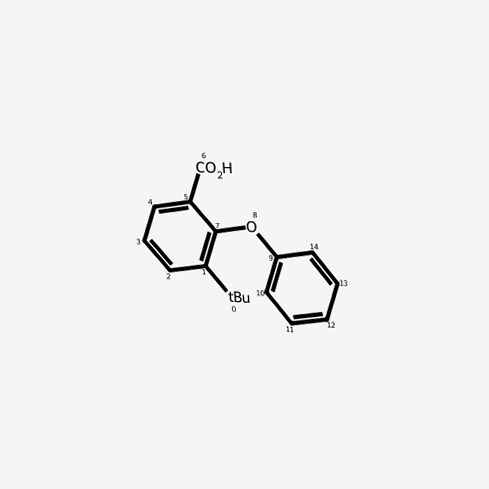 CC(C)(C)c1cccc(C(=O)O)c1Oc1ccccc1